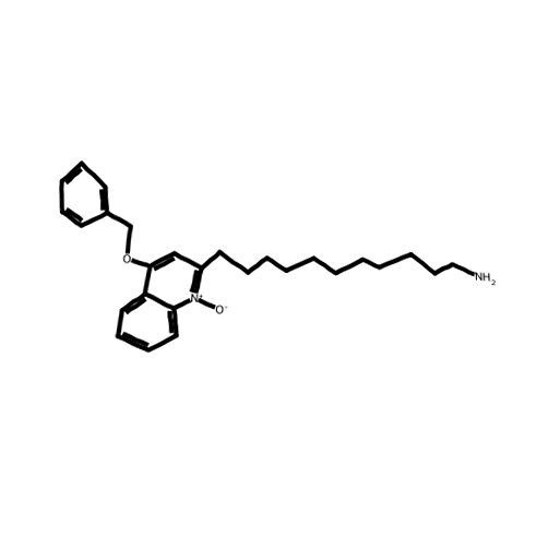 NCCCCCCCCCCCc1cc(OCc2ccccc2)c2ccccc2[n+]1[O-]